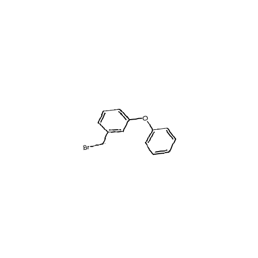 Br[CH]c1cccc(Oc2ccccc2)c1